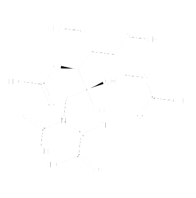 CO[C@H]([C@@H](COC(C)=O)OC)[C@H](OC(C)=O)[C@](C)(O)CN(C(C)=O)N(C)C(C)=O